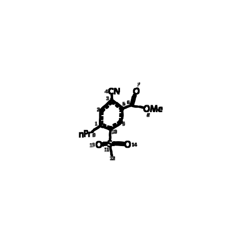 CCCc1cc(C#N)c(C(=O)OC)cc1S(C)(=O)=O